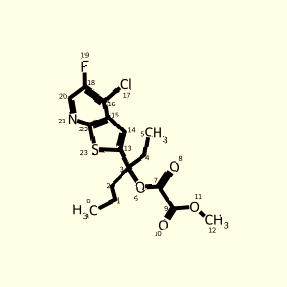 CCCC(CC)(OC(=O)C(=O)OC)c1cc2c(Cl)c(F)cnc2s1